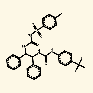 Cc1ccc(S(=O)(=O)NC(=O)NC(c2ccccc2)C(NC(=O)Nc2ccc(C(F)(F)F)cc2)c2ccccc2)cc1